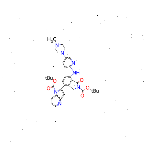 CN1CCN(c2ccc(Nc3ccc(-c4cc5ncccc5n4C(=O)OC(C)(C)C)c4c3C(=O)N(C(=O)OC(C)(C)C)C4)nc2)CC1